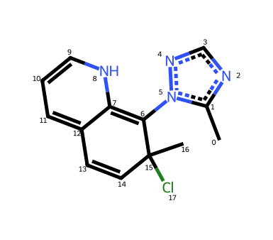 Cc1ncnn1C1=C2NC=CC=C2C=CC1(C)Cl